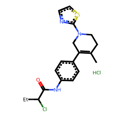 CCC(Cl)C(=O)Nc1ccc(C2=C(C)CCN(c3nccs3)C2)cc1.Cl